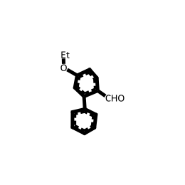 CCOc1ccc(C=O)c(-c2ccccc2)c1